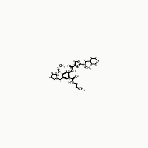 CCCNC(=O)c1cc(CN2CCC[C@@H]2COC)ccc1NC(=O)c1csc(N(C)CC2CCOCC2)n1